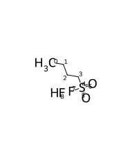 CCCCS(=O)(=O)F.F